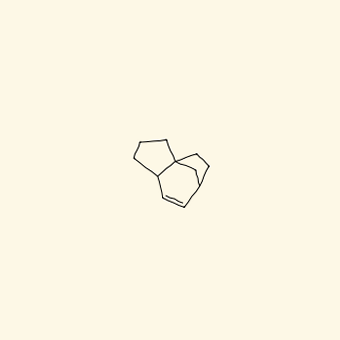 C1=CC2CCCC23CCC1C3